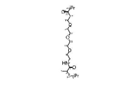 CC(C)SC(C)C(=O)NCCOCCOCCOCCC(=O)C(C)C